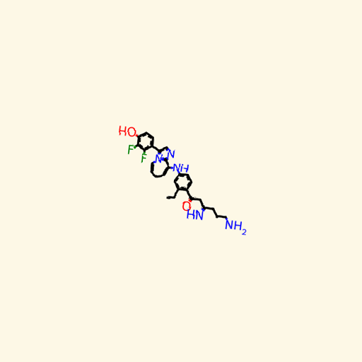 CCc1cc(NC2=CCC=Cn3c(-c4ccc(O)c(F)c4F)cnc32)ccc1C(=O)CC(=N)CCCN